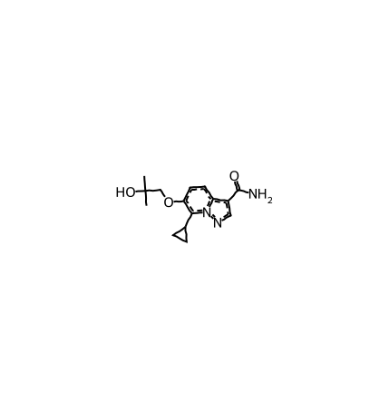 CC(C)(O)COc1ccc2c(C(N)=O)cnn2c1C1CC1